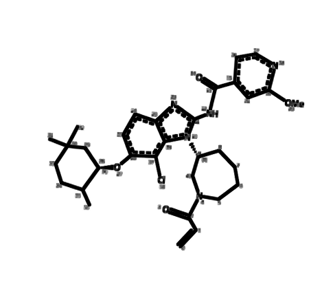 C=CC(=O)N1CCCC[C@@H](n2c(NC(=O)c3ccnc(OC)c3)nc3ccc(O[C@@H]4CC(C)(C)CCC4C)c(Cl)c32)C1